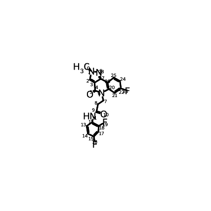 Cn1cc2c(=O)n(CCC(=O)Nc3ccc(F)cc3F)c3cc(F)ccc3c2n1